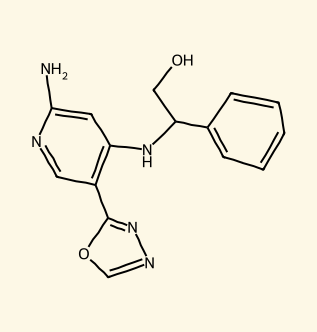 Nc1cc(NC(CO)c2ccccc2)c(-c2nnco2)cn1